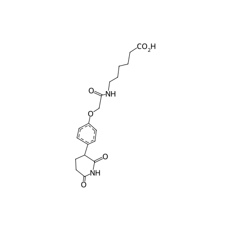 O=C(O)CCCCCNC(=O)COc1ccc(C2CCC(=O)NC2=O)cc1